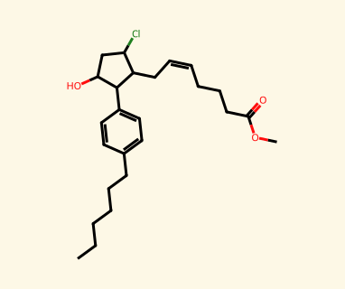 CCCCCCc1ccc(C2C(O)CC(Cl)C2C/C=C\CCCC(=O)OC)cc1